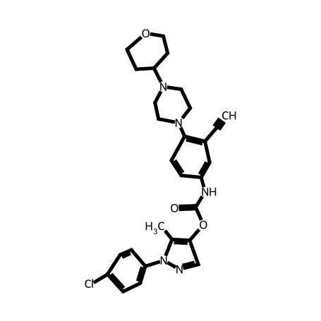 C#Cc1cc(NC(=O)Oc2cnn(-c3ccc(Cl)cc3)c2C)ccc1N1CCN(C2CCOCC2)CC1